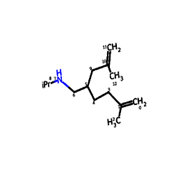 C=C(C)CCC(CNC(C)C)CC(=C)C